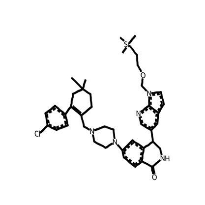 CC1(C)CCC(CN2CCN(c3ccc4c(c3)C(c3cnc5c(ccn5COCC[Si](C)(C)C)c3)CNC4=O)CC2)=C(c2ccc(Cl)cc2)C1